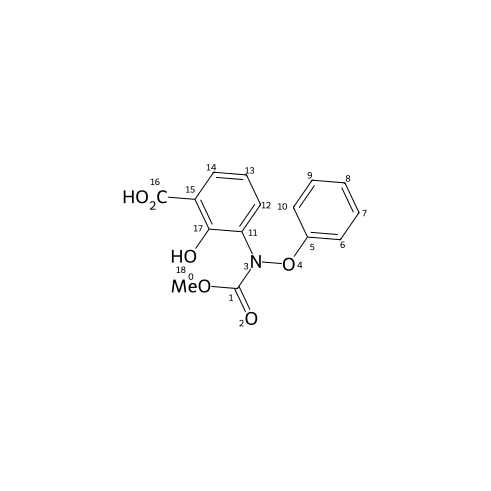 COC(=O)N(Oc1ccccc1)c1cccc(C(=O)O)c1O